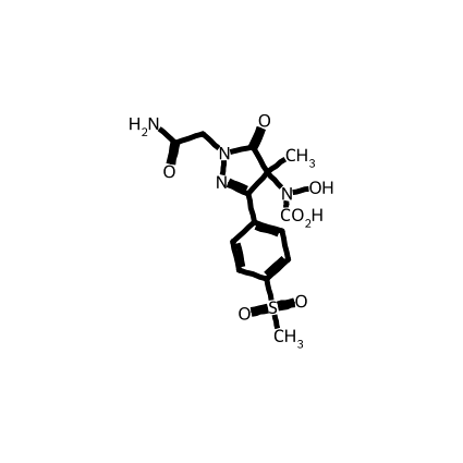 CC1(N(O)C(=O)O)C(=O)N(CC(N)=O)N=C1c1ccc(S(C)(=O)=O)cc1